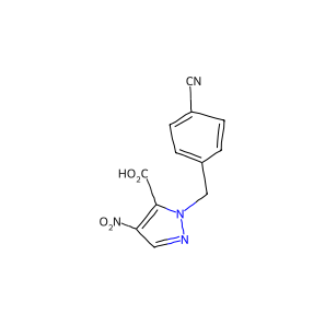 N#Cc1ccc(Cn2ncc([N+](=O)[O-])c2C(=O)O)cc1